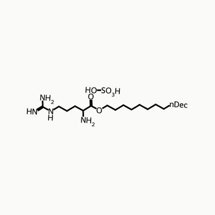 CCCCCCCCCCCCCCCCCCOC(=O)C(N)CCCNC(=N)N.O=S(=O)(O)O